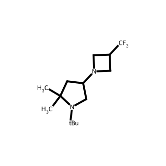 CC(C)(C)N1CC(N2CC(C(F)(F)F)C2)CC1(C)C